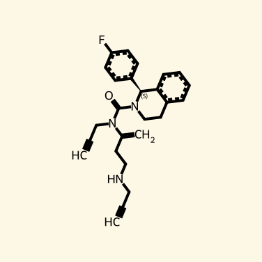 C#CCNCCC(=C)N(CC#C)C(=O)N1CCc2ccccc2[C@@H]1c1ccc(F)cc1